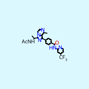 CC(=O)NC(C)c1nc(-c2ccc(C(=O)Nc3cc(C(F)(F)F)ccn3)cc2)c2c(C)nccn12